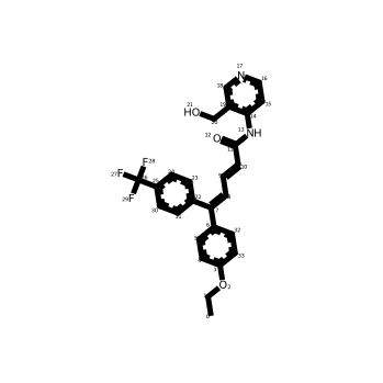 CCOc1ccc(C(=CC=CC(=O)Nc2ccncc2CO)c2ccc(C(F)(F)F)cc2)cc1